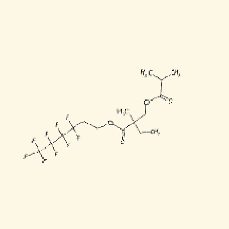 CCC(C)(COC(=O)C(C)C)C(=O)OCCC(F)(F)C(F)(F)C(F)(F)C(F)(F)F